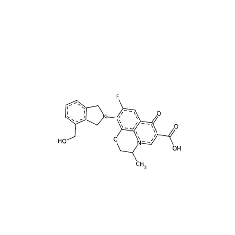 CC1COc2c(N3Cc4cccc(CO)c4C3)c(F)cc3c(=O)c(C(=O)O)cn1c23